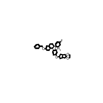 CC1([C@H]2CCc3cc(OCc4ccccc4)ccc3[C@H]2c2ccc(OC3CC4CC5(CC4C3)OCCO5)cc2)C=CC(F)=CC1